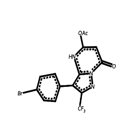 CC(=O)Oc1cc(=O)n2nc(C(F)(F)F)c(-c3ccc(Br)cc3)c2[nH]1